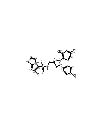 O=S(=O)(NCC1=NN(c2ccc(Cl)cc2Cl)[C@H](c2ccc(Cl)cc2)C1)c1c(Cl)nc2sccn12